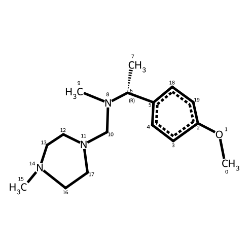 COc1ccc([C@@H](C)N(C)CN2CCN(C)CC2)cc1